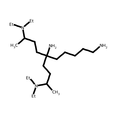 CCN(CC)C(C)CCC(N)(CCCCCN)CCC(C)N(CC)CC